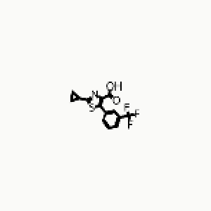 O=C(O)c1nc(C2CC2)sc1-c1cccc(C(F)(F)F)c1